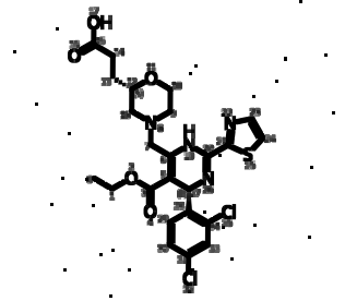 CCOC(=O)C1=C(CN2CCO[C@@H](CCC(=O)O)C2)NC(c2nccs2)=N[C@H]1c1ccc(Cl)cc1Cl